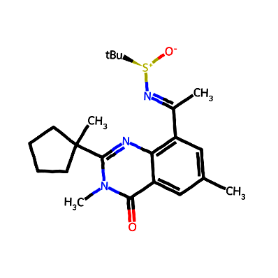 CC(=N[S@+]([O-])C(C)(C)C)c1cc(C)cc2c(=O)n(C)c(C3(C)CCCC3)nc12